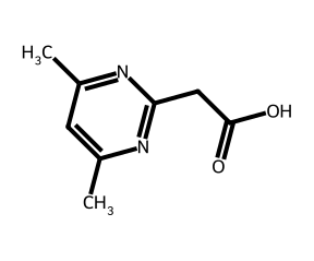 Cc1cc(C)nc(CC(=O)O)n1